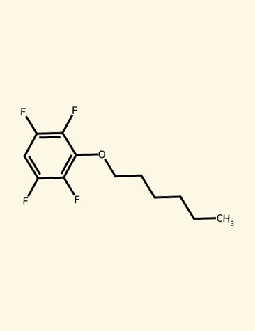 CCCCCCOc1c(F)c(F)cc(F)c1F